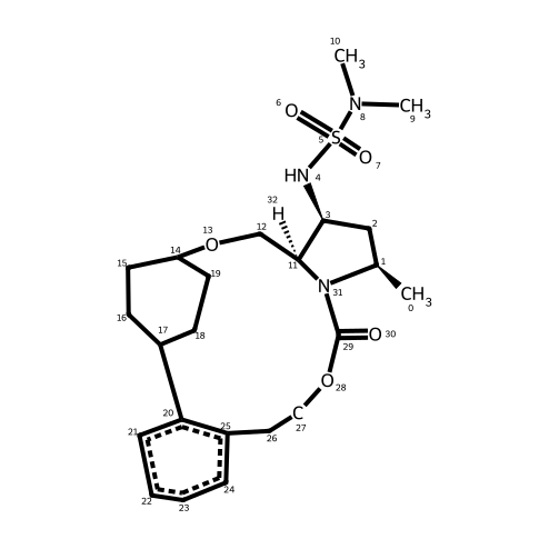 C[C@@H]1C[C@H](NS(=O)(=O)N(C)C)[C@@H]2COC3CCC(CC3)c3ccccc3CCOC(=O)N12